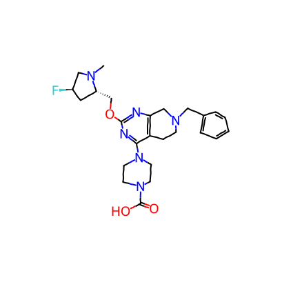 CN1C[C@H](F)C[C@H]1COc1nc2c(c(N3CCN(C(=O)O)CC3)n1)CCN(Cc1ccccc1)C2